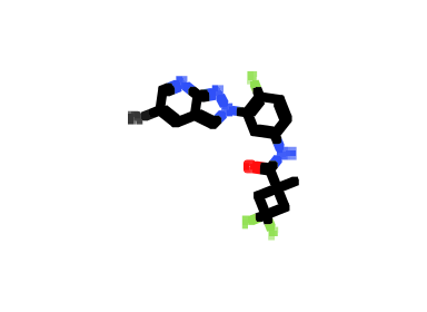 CC(C)c1cnc2nn(-c3cc(NC(=O)C4(C)CC(F)(F)C4)ccc3F)cc2c1